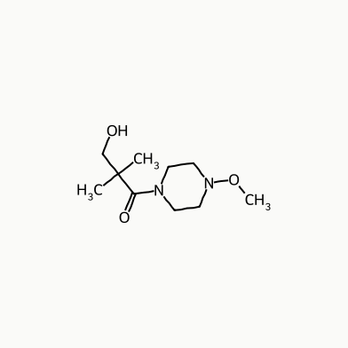 CON1CCN(C(=O)C(C)(C)CO)CC1